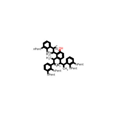 CCCCCc1cccc(C(C)C(C)c2ccc(O)c(C(C)C(C)c3cccc(CCCCC)c3CCCCC)c2C(C)C(C)c2cccc(CCCCC)c2CCCCC)c1CCCCC